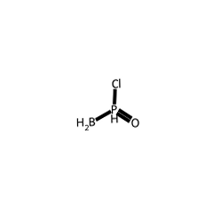 B[PH](=O)Cl